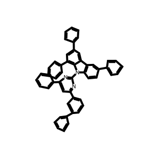 c1ccc(-c2cccc(-c3cc(-c4ccccc4)nc(-n4c5ccc(-c6ccccc6)cc5c5cc(-c6ccccc6)cc(-c6ccccc6)c54)n3)c2)cc1